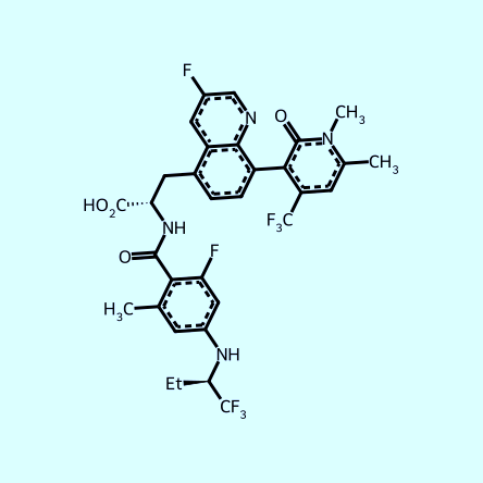 CC[C@@H](Nc1cc(C)c(C(=O)N[C@@H](Cc2ccc(-c3c(C(F)(F)F)cc(C)n(C)c3=O)c3ncc(F)cc23)C(=O)O)c(F)c1)C(F)(F)F